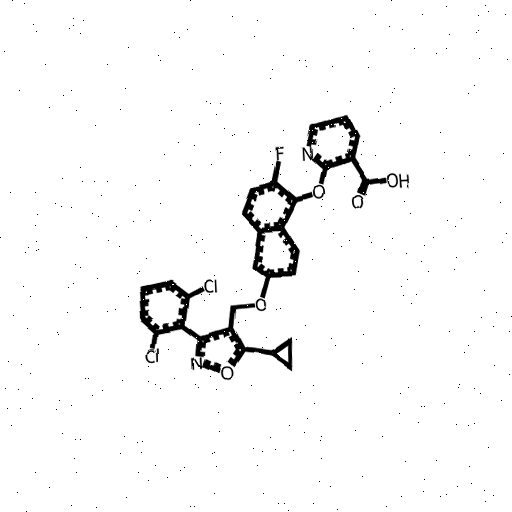 O=C(O)c1cccnc1Oc1c(F)ccc2cc(OCc3c(-c4c(Cl)cccc4Cl)noc3C3CC3)ccc12